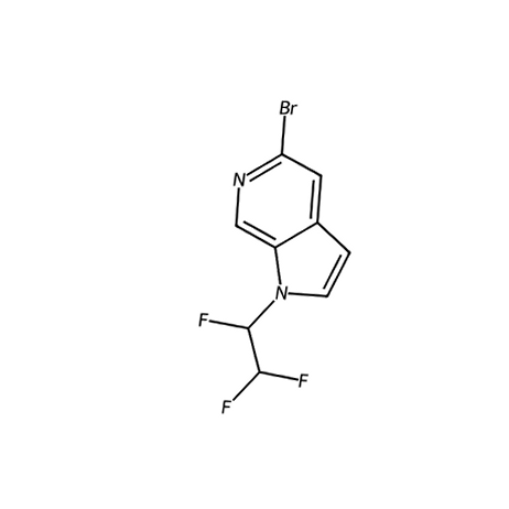 FC(F)C(F)n1ccc2cc(Br)ncc21